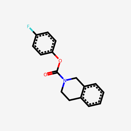 O=C(Oc1ccc(F)cc1)N1CCc2ccccc2C1